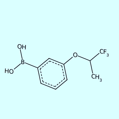 CC(Oc1cccc(B(O)O)c1)C(F)(F)F